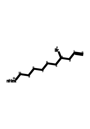 C=CCC(Br)CCCCCCCCCCCC